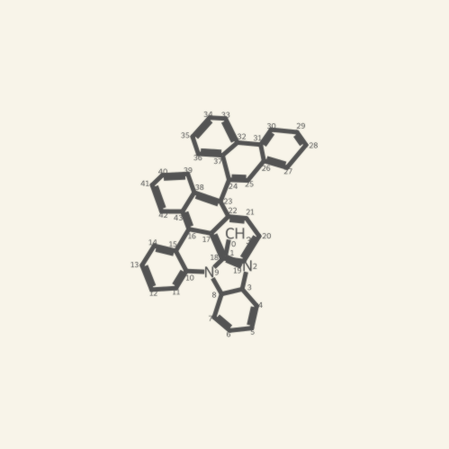 CC1=NC2C=CC=CC2N1c1ccccc1-c1c2ccccc2c(-c2cc3ccccc3c3ccccc23)c2ccccc12